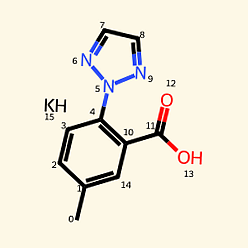 Cc1ccc(-n2nccn2)c(C(=O)O)c1.[KH]